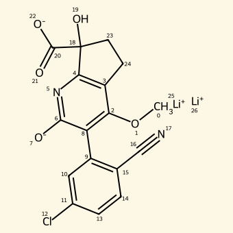 COc1c2c(nc([O-])c1-c1cc(Cl)ccc1C#N)C(O)(C(=O)[O-])CC2.[Li+].[Li+]